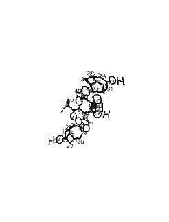 C=C(C)C(=O)C1O[C@@H]2OC3(O[C@@H]2[C@@H](O)[C@H]1C1COC2(CCC4CC5(O)CC2CC45)O1)C1CC(O)CC2CC3C2C1